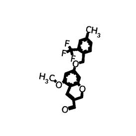 COc1cc(OCc2ccc(C)cc2C(F)(F)F)cc2c1C=C(C=O)CO2